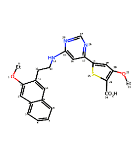 CCOc1cc2ccccc2cc1CCNc1cc(-c2cc(OCC)c(C(=O)O)s2)ncn1